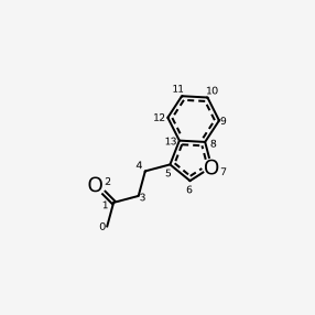 CC(=O)CCc1coc2ccccc12